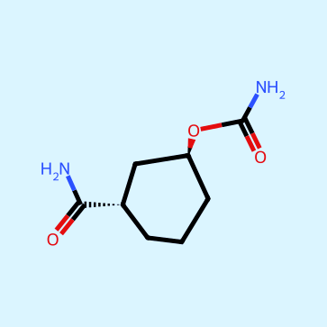 NC(=O)O[C@H]1CCC[C@H](C(N)=O)C1